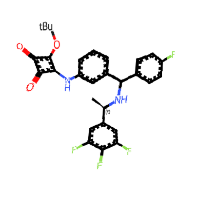 C[C@@H](NC(c1ccc(F)cc1)c1cccc(Nc2c(OC(C)(C)C)c(=O)c2=O)c1)c1cc(F)c(F)c(F)c1